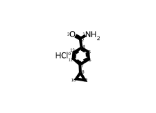 Cl.NC(=O)c1ccc(C2CC2)cc1